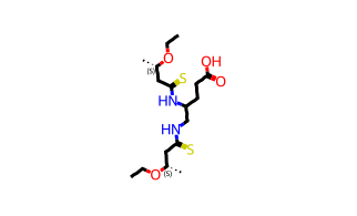 CCO[C@@H](C)CC(=S)NCC(CCC(=O)O)NC(=S)C[C@H](C)OCC